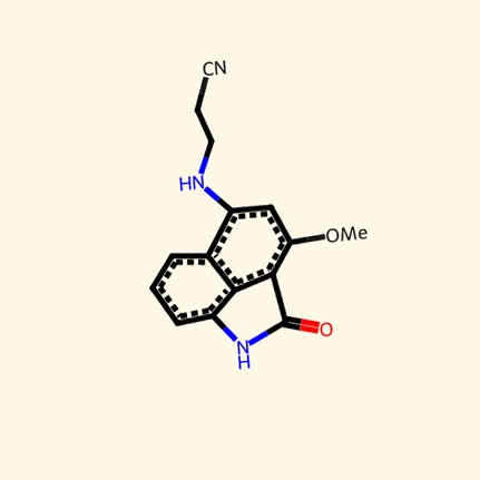 COc1cc(NCCC#N)c2cccc3c2c1C(=O)N3